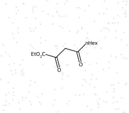 CCCCCCC(=O)CC(=O)C(=O)OCC